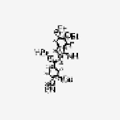 Br.CCOc1cc2c(c(F)c1OCC)C(=N)N(CC(=O)c1ccc(OCC#N)c(C(C)(C)C)c1)C2